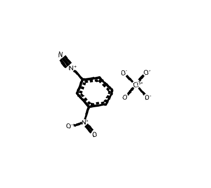 N#[N+]c1cccc([N+](=O)[O-])c1.[O-][Cl+3]([O-])([O-])[O-]